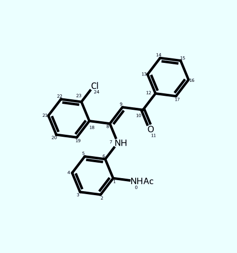 CC(=O)Nc1ccccc1NC(=CC(=O)c1ccccc1)c1ccccc1Cl